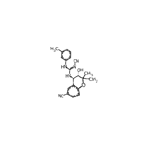 Cc1cccc(NC(=NC#N)N[C@@H]2c3cc(C#N)ccc3OC(C)(C)[C@H]2O)c1